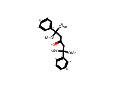 COC(CC(=O)CC(OC)(OC)c1ccccc1)(OC)c1ccccc1